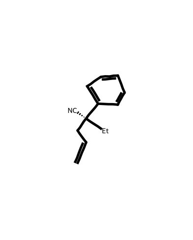 C=CC[C@](C#N)(CC)c1ccccc1